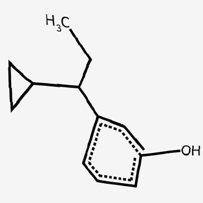 CCC(c1cccc(O)c1)C1CC1